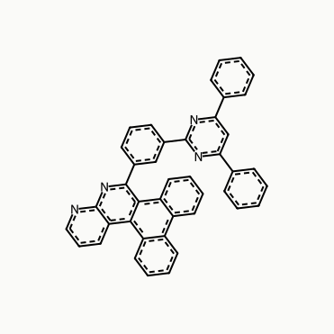 c1ccc(-c2cc(-c3ccccc3)nc(-c3cccc(-c4nc5ncccc5c5c6ccccc6c6ccccc6c45)c3)n2)cc1